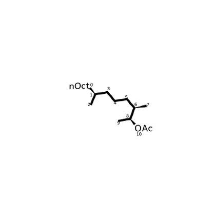 CCCCCCCC[C@H](C)CCC[C@@H](C)[C@H](C)OC(C)=O